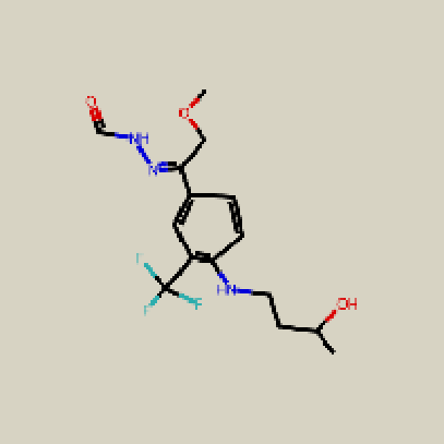 COC/C(=N\NC=O)c1ccc(NCCC(C)O)c(C(F)(F)F)c1